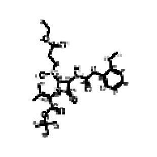 CCOC(=O)CC[S+]([O-])C1C(NC(=O)Cc2ccccc2CC)C(=O)N1C(C(=O)OC(C)(C)C)=C(C)C